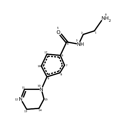 NCCNC(=O)c1ccc(N2C=NCCC2)cc1